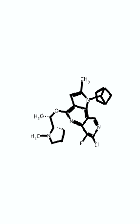 Cc1cc2c(O[C@@H](C)[C@@H]3CCCN3C)nc3c(F)c(Cl)ncc3c2n1C1C2CCC1C2